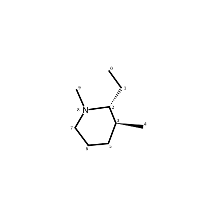 CC[C@@H]1[C@@H](C)CCCN1C